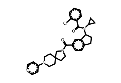 O=C(c1ccc2c(c1)C(N(C(=O)c1ccccc1Cl)C1CC1)CC2)N1CCC2(CCN(c3ccncc3)CC2)C1